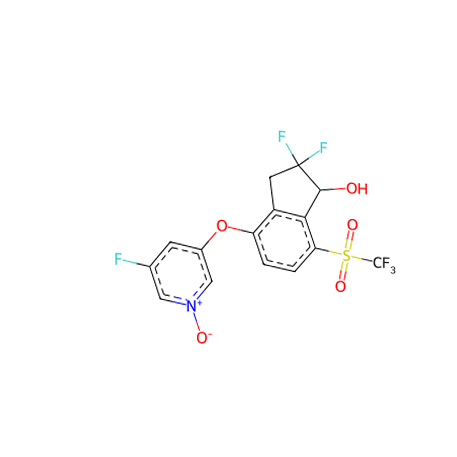 O=S(=O)(c1ccc(Oc2cc(F)c[n+]([O-])c2)c2c1C(O)C(F)(F)C2)C(F)(F)F